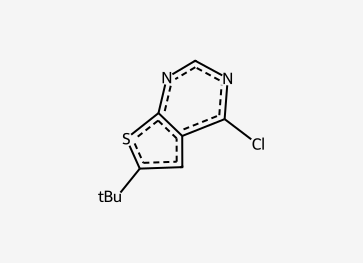 CC(C)(C)c1cc2c(Cl)ncnc2s1